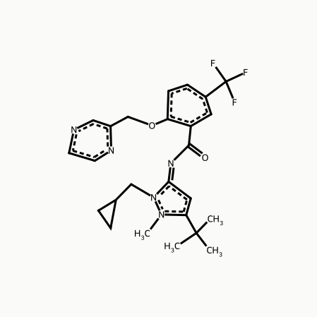 Cn1c(C(C)(C)C)c/c(=N\C(=O)c2cc(C(F)(F)F)ccc2OCc2cnccn2)n1CC1CC1